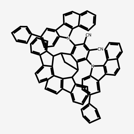 N#Cc1c(C#N)c(-n2c3ccc(-c4ccccc4)cc3c3ccc4ccccc4c32)c2c(c1-n1c3ccc(-c4ccccc4)cc3c3ccc4ccccc4c31)C1CC2C2c3ccccc3-c3ccc4ccc5c(c4c32)C1c1ccccc1-5